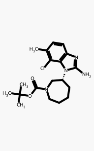 Cc1ccc2nc(N)n([C@@H]3CCCCN(C(=O)OC(C)(C)C)C3)c2c1Cl